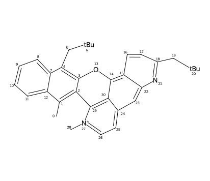 Cc1c2c(c(CC(C)(C)C)c3ccccc13)Oc1c3ccc(CC(C)(C)C)nc3cc3cc[n+](C)c-2c13